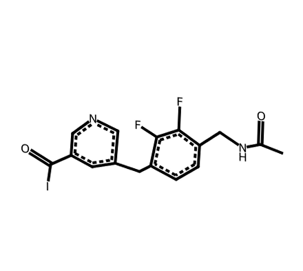 CC(=O)NCc1ccc(Cc2cncc(C(=O)I)c2)c(F)c1F